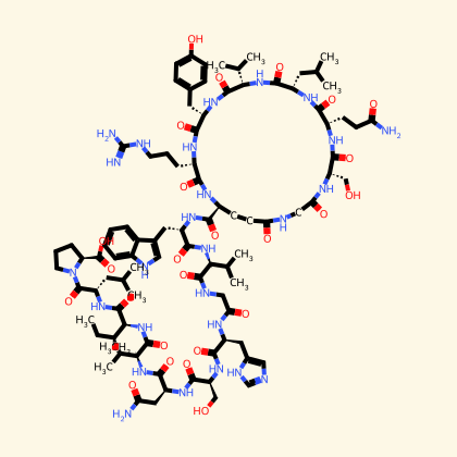 CC[C@H](C)[C@H](NC(=O)[C@@H](NC(=O)[C@H](CC(N)=O)NC(=O)[C@H](CO)NC(=O)[C@H](Cc1cnc[nH]1)NC(=O)CNC(=O)[C@@H](NC(=O)[C@H](Cc1c[nH]c2ccccc12)NC(=O)[C@@H]1CCC(=O)NCC(=O)N[C@@H](CO)C(=O)N[C@@H](CCC(N)=O)C(=O)N[C@@H](CC(C)C)C(=O)N[C@@H](C(C)C)C(=O)N[C@@H](Cc2ccc(O)cc2)C(=O)N[C@@H](CCCNC(=N)N)C(=O)N1)C(C)C)C(C)C)C(=O)N[C@@H](CC(C)C)C(=O)N1CCC[C@H]1C(=O)O